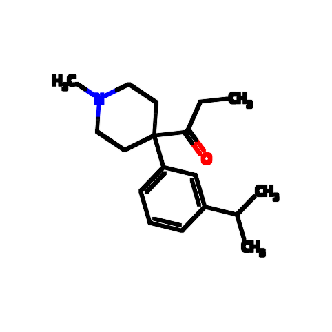 CCC(=O)C1(c2cccc(C(C)C)c2)CCN(C)CC1